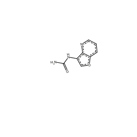 NC(=O)Nc1coc2cccnc12